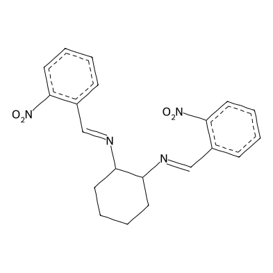 O=[N+]([O-])c1ccccc1C=NC1CCCCC1N=Cc1ccccc1[N+](=O)[O-]